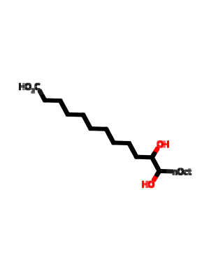 CCCCCCCCC(O)C(O)CCCCCCCCCC(=O)O